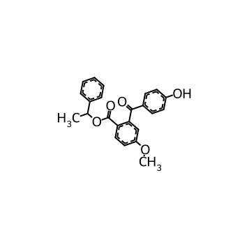 COc1ccc(C(=O)OC(C)c2ccccc2)c(C(=O)c2ccc(O)cc2)c1